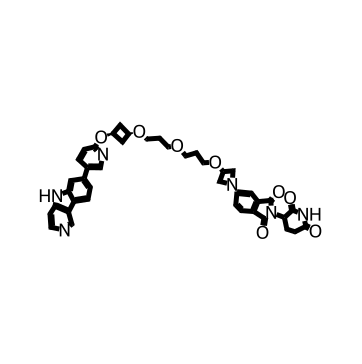 O=C1CCC(N2C(=O)c3ccc(N4CC(OCCCOCCCO[C@H]5C[C@H](Oc6ccc(-c7ccc8c(c7)[nH]c7ccncc78)cn6)C5)C4)cc3C2=O)C(=O)N1